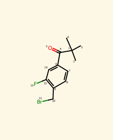 CC(C)(C)C(=O)c1ccc(CBr)c(F)c1